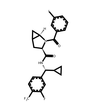 O=C(N[C@@H](c1ccc(C(F)(F)F)c(F)c1)C1CC1)[C@H]1CC2C[C@H]2N1C(=O)c1cccc(I)c1